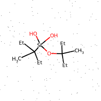 CCC(C)(CC)O[Si](O)(O)C(C)(CC)CC